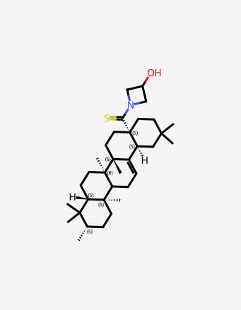 C[C@H]1CC[C@]2(C)C3CC=C4[C@@H]5CC(C)(C)CC[C@]5(C(=S)N5CC(O)C5)CC[C@@]4(C)[C@]3(C)CC[C@H]2C1(C)C